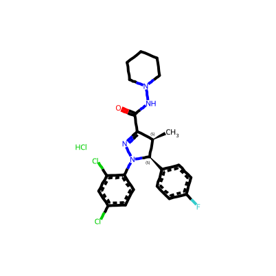 C[C@@H]1C(C(=O)NN2CCCCC2)=NN(c2ccc(Cl)cc2Cl)[C@@H]1c1ccc(F)cc1.Cl